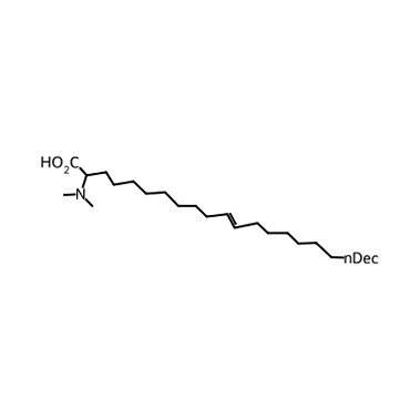 CCCCCCCCCCCCCCCCC=CCCCCCCCCC(C(=O)O)N(C)C